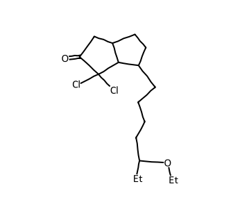 CCOC(CC)CCCCC1CCC2CC(=O)C(Cl)(Cl)C12